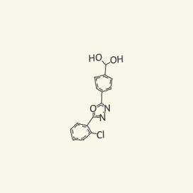 OC(O)c1ccc(-c2nnc(-c3ccccc3Cl)o2)cc1